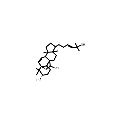 C[C@H](C/C=C/C(C)(C)O)C1CC[C@@]2(C)C3C=CC45OC(O)C3(CCC12C)[C@@H]4CC[C@H](O)C5(C)C